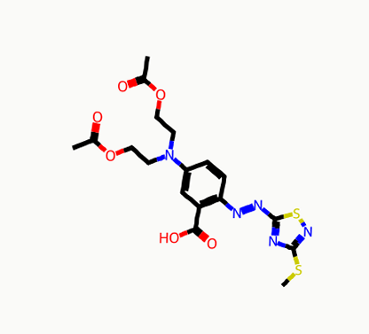 CSc1nsc(N=Nc2ccc(N(CCOC(C)=O)CCOC(C)=O)cc2C(=O)O)n1